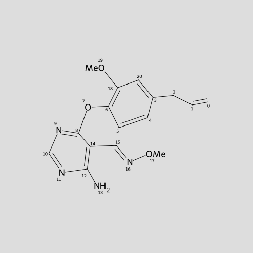 C=CCc1ccc(Oc2ncnc(N)c2/C=N/OC)c(OC)c1